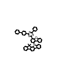 CC1(C)c2ccccc2-c2ccc3c4ccccc4n(-c4ccc(-c5nc(-c6ccccc6)nc(-c6ccc(-c7ccccc7)cc6)n5)c5oc6ccccc6c45)c3c21